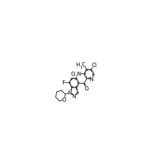 Cc1c(Cl)cnc(C(=O)c2ccc(F)c3c2cnn3C2CCCCO2)c1[N+](=O)[O-]